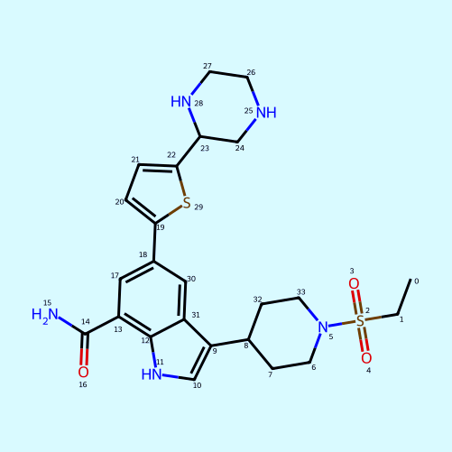 CCS(=O)(=O)N1CCC(c2c[nH]c3c(C(N)=O)cc(-c4ccc(C5CNCCN5)s4)cc23)CC1